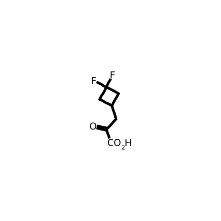 O=C(O)C(=O)CC1CC(F)(F)C1